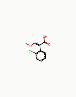 CO/C=C(/C(=O)O)c1ccccc1Cl